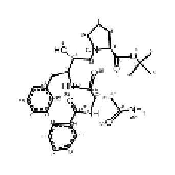 CC(C)(C)OC(=O)[C@@H]1CCCN1C[C@@H](O)[C@H](Cc1ccccc1)NC(=O)[C@H](CC(N)=O)NC(=O)c1ccccc1